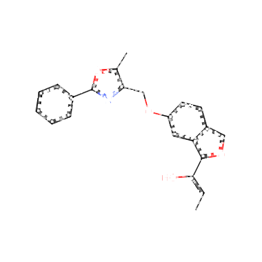 CC=C(O)c1occ2ccc(OCc3nc(-c4ccccc4)oc3C)cc12